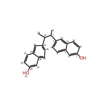 CC(c1ccc2cc(O)ccc2c1)C(C)c1ccc2cc(O)ccc2c1